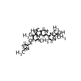 Cc1nc(COc2cc(C)n(-c3cc(-c4ccnc(C(C)(C)O)n4)ncc3C)c(=O)c2C)cs1